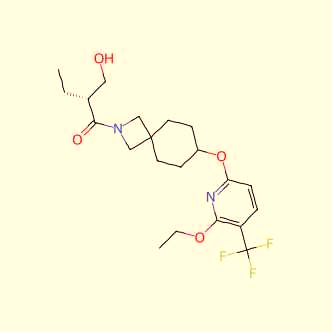 CCOc1nc(OC2CCC3(CC2)CN(C(=O)[C@H](CC)CO)C3)ccc1C(F)(F)F